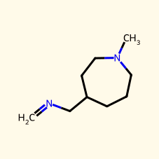 C=NCC1CCCN(C)CC1